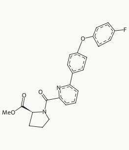 COC(=O)[C@@H]1CCCN1C(=O)c1cccc(-c2ccc(Oc3ccc(F)cc3)cc2)n1